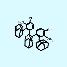 Nc1c(O)ccc(C2C3CC4CC(C3)CC2(c2ccc(O)c(N)c2C23CC5CC(CC(C5)C2)C3)C4)c1C12CC3CC(CC(C3)C1)C2